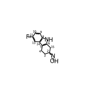 ON=C1CCc2c([nH]c3ccc(F)cc23)C1